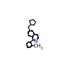 Cc1ccccc1-c1nccc2cc(CC3CCCC3)ccc12